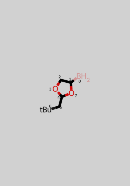 BC1COC(CC(C)(C)C)O1